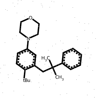 CC(C)(C)c1ccc(N2CCOCC2)cc1CC(C)(C)c1ccccc1